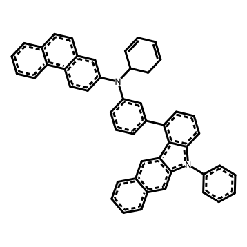 C1=CCC(N(c2cccc(-c3cccc4c3c3cc5ccccc5cc3n4-c3ccccc3)c2)c2ccc3c(ccc4ccccc43)c2)C=C1